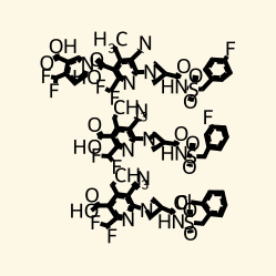 CCc1c(C#N)c(N2CC(C(=O)NS(=O)(=O)Cc3ccc(F)cc3)C2)nc(C(F)F)c1C(=O)O.CCc1c(C#N)c(N2CC(C(=O)NS(=O)(=O)Cc3cccc(F)c3)C2)nc(C(F)F)c1C(=O)O.CCc1c(C#N)c(N2CC(C(=O)NS(=O)(=O)Cc3ccccc3Cl)C2)nc(C(F)F)c1C(=O)O.O=C(O)c1cnccc1C(F)F